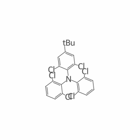 CC(C)(C)c1cc(Cl)c(N(c2c(Cl)cccc2Cl)c2c(Cl)cccc2Cl)c(Cl)c1